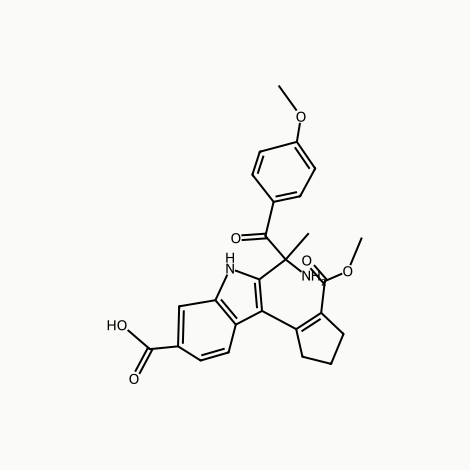 COC(=O)C1=C(c2c(C(C)(N)C(=O)c3ccc(OC)cc3)[nH]c3cc(C(=O)O)ccc23)CCC1